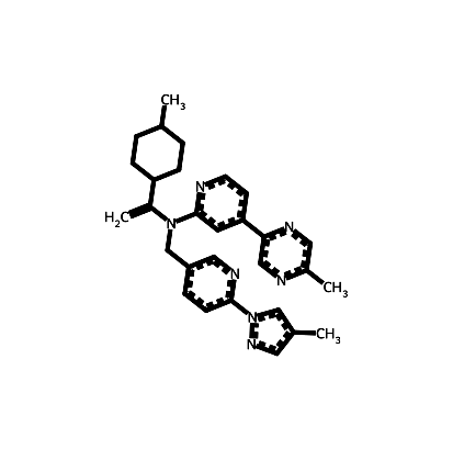 C=C(C1CCC(C)CC1)N(Cc1ccc(-n2cc(C)cn2)nc1)c1cc(-c2cnc(C)cn2)ccn1